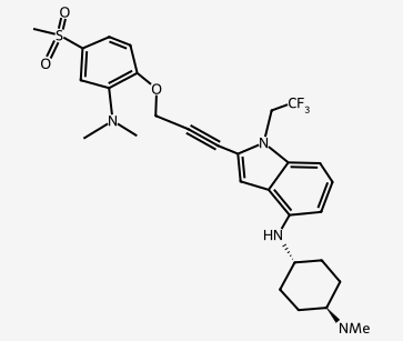 CN[C@H]1CC[C@H](Nc2cccc3c2cc(C#CCOc2ccc(S(C)(=O)=O)cc2N(C)C)n3CC(F)(F)F)CC1